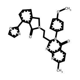 COc1ccc(-n2c(CCN3Cc4cccc(-c5ncco5)c4C3=O)nc3nc(C)ccc3c2=O)cc1